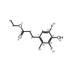 CCOC(=O)CCc1cc(F)c(O)c(F)c1C